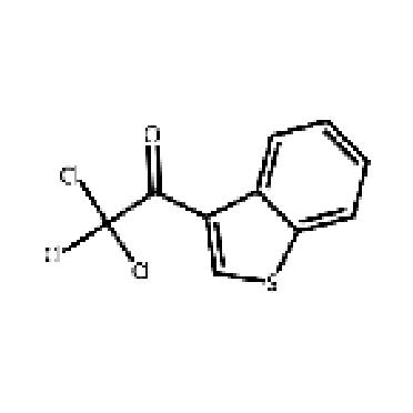 O=C(c1csc2ccccc12)C(Cl)(Cl)Cl